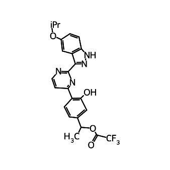 CC(C)Oc1ccc2[nH]nc(-c3nccc(-c4ccc(C(C)OC(=O)C(F)(F)F)cc4O)n3)c2c1